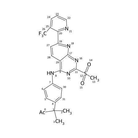 CC(=O)C(C)(C)c1ccc(Nc2nc(S(C)(=O)=O)nc3nc(-c4ncccc4C(F)(F)F)ccc23)cc1